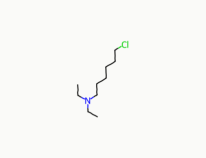 CCN(CC)CCCCCCCl